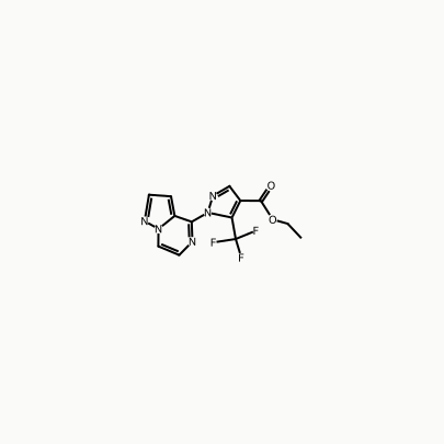 CCOC(=O)c1cnn(-c2nccn3nccc23)c1C(F)(F)F